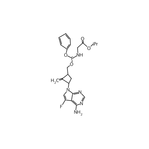 C=C1C(COP(NCC(=O)OC(C)C)Oc2ccccc2)CC1n1cc(F)c2c(N)ncnc21